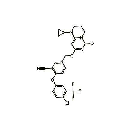 N#Cc1cc(COc2cc3n(c(=O)n2)CCCN3C2CC2)ccc1Oc1ccc(Cl)c(C(F)(F)F)c1